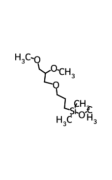 COCC(COCCC[Si](C)(C)OC)OC